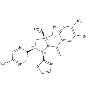 Cc1cnc([C@H]2C[C@@](CC(C)C)(C(=O)O)N(C(=O)c3ccc(C(C)(C)C)c(Br)c3)[C@H]2c2nccs2)cn1